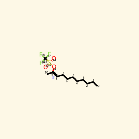 CCCCCCCC/C=C(/C)OS(=O)(=O)C(F)(F)F